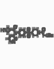 CC(C)(C)CC(=O)N1CCC(S(=O)(=O)c2ccc(N(C(=O)C3CNC3)c3cccnn3)cc2)CC1